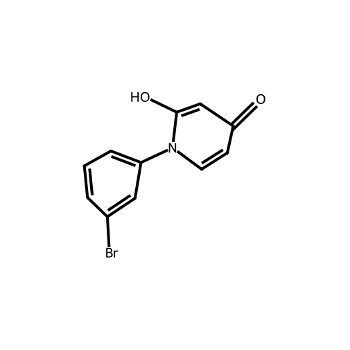 O=c1ccn(-c2cccc(Br)c2)c(O)c1